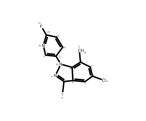 Cc1cc(Cl)cc2c(I)nn(-c3ccc(F)nc3)c12